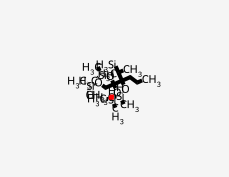 CCCC(O[SiH](C)C)(C(C)(C)[SiH3])C(CO[SiH](C)C)(O[SiH](C)C)O[SiH](C)C